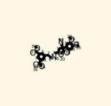 COC(=O)c1cc(CCN(C)CCCC(C#N)(C(=O)OC)c2ccc(OC)c(OC)c2)cc(C(=O)OC)c1